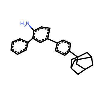 Nc1ccc(-c2ccc(C34CC5CC(CC(C5)C3)C4)cc2)cc1-c1ccccc1